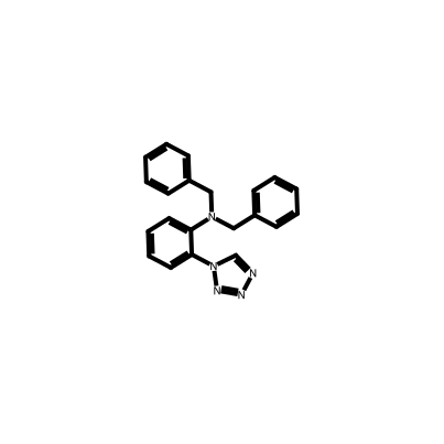 c1ccc(CN(Cc2ccccc2)c2ccccc2-n2cnnn2)cc1